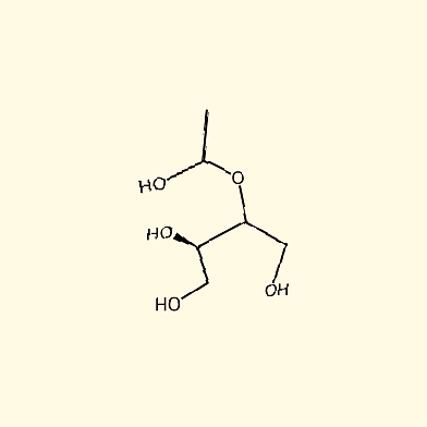 CC(O)OC(CO)[C@H](O)CO